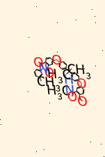 CNC(=O)c1cc(Oc2ccc(C(C)(C)c3ccc(Oc4ccc5c(c4)C(=O)N(c4cccc(C)c4)C5=O)cc3)cc2)ccc1C=O